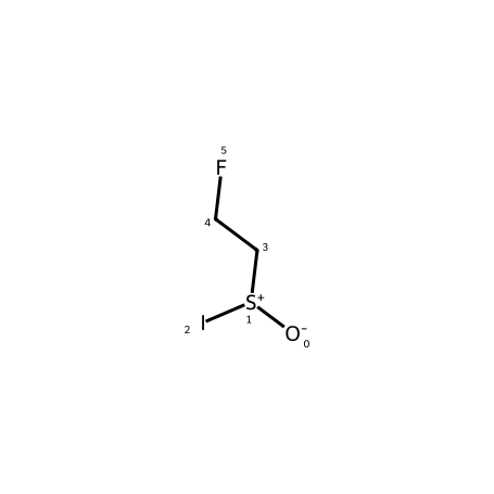 [O-][S+](I)CCF